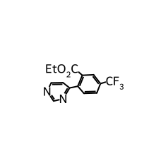 CCOC(=O)c1cc(C(F)(F)F)ccc1-c1ccncn1